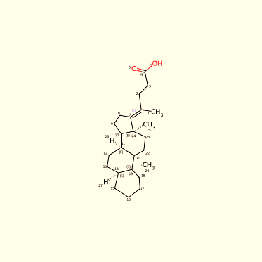 C/C(CCC(=O)O)=C1/CCC2[C@@H]3CC[C@@H]4CCCC[C@]4(C)C3CC[C@]12C